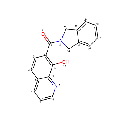 O=C(c1ccc2cccnc2c1O)N1Cc2ccccc2C1